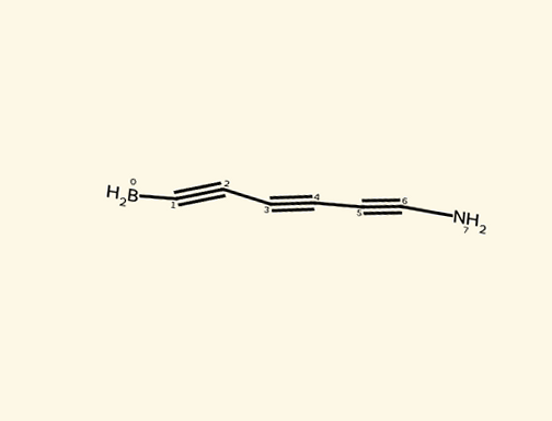 BC#CC#CC#CN